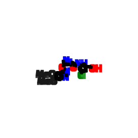 COc1cc2ncnc(Oc3cnn(CC(=O)Nc4cc(Cl)cc(CO)c4)c3)c2cc1OC